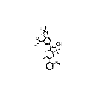 C=Nc1ccccc1/C(=C\C)CN1C(=O)N(c2ccc(OC(F)(F)F)c(C(=O)OC)c2)C(O)C1(C)C